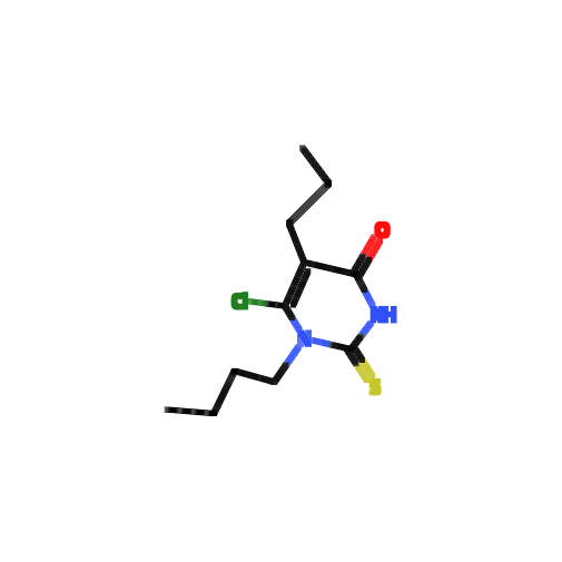 CCCCn1c(Cl)c(CCC)c(=O)[nH]c1=S